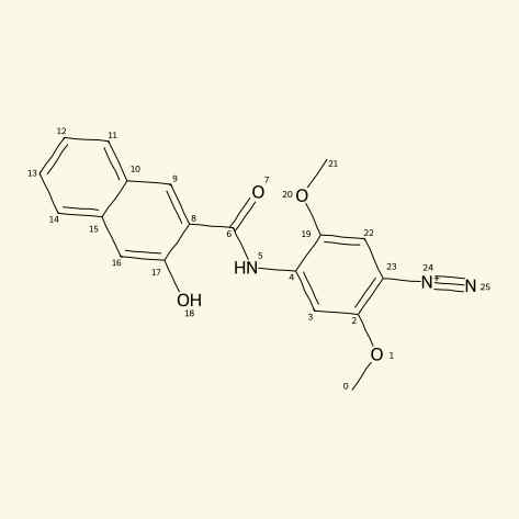 COc1cc(NC(=O)c2cc3ccccc3cc2O)c(OC)cc1[N+]#N